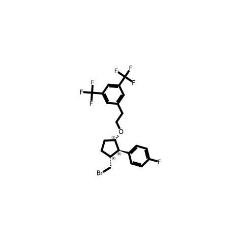 Fc1ccc([C@H]2[C@H](CBr)CC[C@@H]2OCCc2cc(C(F)(F)F)cc(C(F)(F)F)c2)cc1